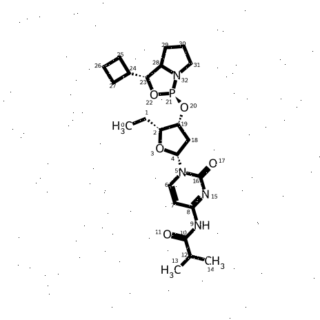 CC[C@H]1O[C@@H](n2ccc(NC(=O)C(C)C)nc2=O)C[C@H]1O[P@@]1O[C@H](C2CCC2)C2CCCN21